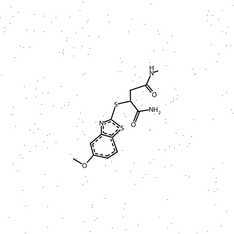 CNC(=O)CC(Sc1nc2cc(OC)ccc2s1)C(N)=O